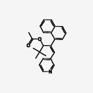 CC(=O)OC(/C(=C\c1cccnc1)c1cccc2ccccc12)C(C)(C)C